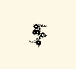 COC[C@]1(O)CCCC[C@H]1n1cnc(C(=O)N2CCNC[C@H]2CCNc2ccc(F)cc2OC)c1-c1ccccc1